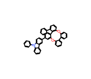 c1ccc(-c2cccc3c2-c2ccc(-c4ccc5c(c4)c4ccccc4n5-c4ccccc4)cc2Oc2ccccc2-c2ccccc2O3)cc1